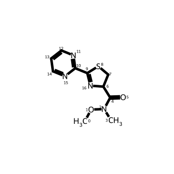 CON(C)C(=O)C1CSC(c2ncccn2)=N1